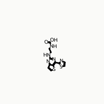 O=C(O)NCCNc1nc(-c2nccs2)c2sccc2n1